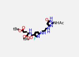 CC(=O)Nc1nc(NCCCNc2ccc(C(=O)N[C@@H](CCC(=O)OC(C)(C)C)C(=O)OC(C)(C)C)c(F)n2)cc(=O)[nH]1